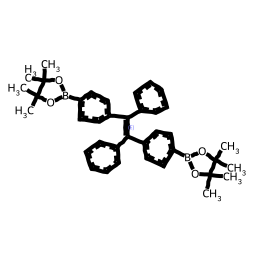 CC1(C)OB(c2ccc(/C(=C(\c3ccccc3)c3ccc(B4OC(C)(C)C(C)(C)O4)cc3)c3ccccc3)cc2)OC1(C)C